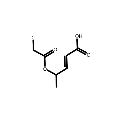 CC(C=CC(=O)O)OC(=O)CCl